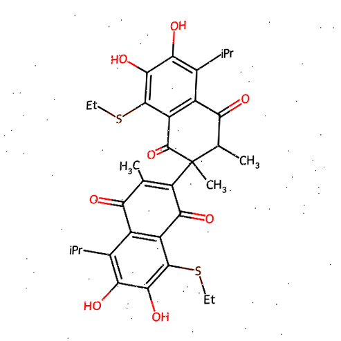 CCSc1c(O)c(O)c(C(C)C)c2c1C(=O)C(C1(C)C(=O)c3c(SCC)c(O)c(O)c(C(C)C)c3C(=O)C1C)=C(C)C2=O